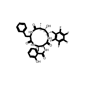 C[C@H]1NC(=O)C(Cc2ccccc2)NC(=O)[C@H](C)[C@H](O)[C@H](Cc2c(F)c(F)c(F)c(F)c2F)NC(=O)[C@H]1NC(=O)c1ccccc1O